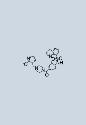 COc1ncccc1CN1CCN(C(=O)c2ccc(NS(=O)(=O)c3cccc4cccnc34)c(C)c2)CC1